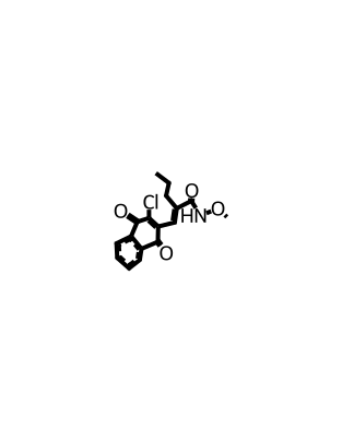 CCC/C(=C\C1=C(Cl)C(=O)c2ccccc2C1=O)C(=O)NOC